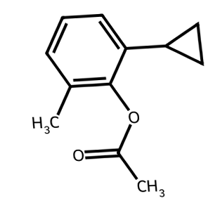 CC(=O)Oc1c(C)cccc1C1CC1